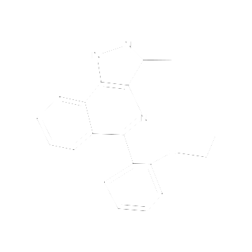 CCOc1ccccc1-c1nc2c(C)n[nH]c2c2ccccc12